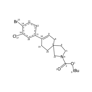 CC(C)(C)OC(=O)N1CCC2(CC=C(c3ccc(Br)c(Cl)c3)CC2)C1